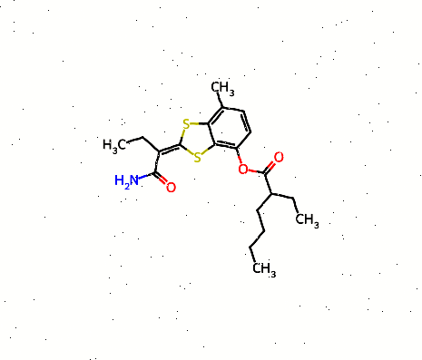 CCCCC(CC)C(=O)Oc1ccc(C)c2c1S/C(=C(/CC)C(N)=O)S2